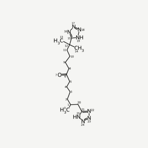 CC(CCCCC(=O)CCCCC(C)(C)c1nnn[nH]1)Cc1nnn[nH]1